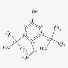 CC(C)(C)c1cc(O)cc(C(C)(C)C)c1CN